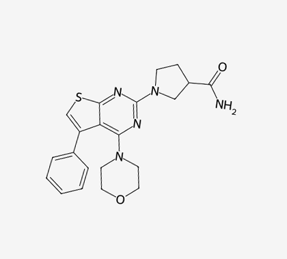 NC(=O)C1CCN(c2nc(N3CCOCC3)c3c(-c4ccccc4)csc3n2)C1